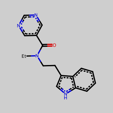 CCN(CCc1c[nH]c2ccccc12)C(=O)c1cncnc1